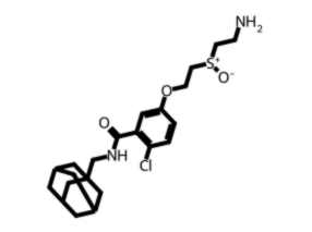 NCC[S+]([O-])CCOc1ccc(Cl)c(C(=O)NCC23CC4CC(CC(C4)C2)C3)c1